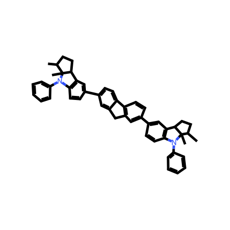 CC1CCC2c3cc(-c4ccc5c(c4)Cc4cc(-c6ccc7c(c6)C6CCC(C)C6(C)N7c6ccccc6)ccc4-5)ccc3N(c3ccccc3)C12C